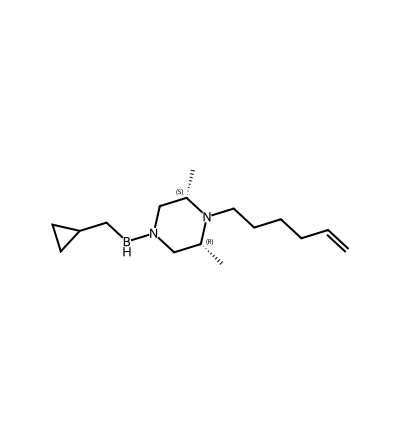 C=CCCCCN1[C@H](C)CN(BCC2CC2)C[C@@H]1C